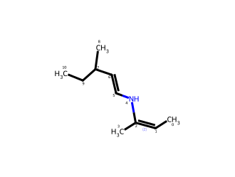 C/C=C(/C)NC=CC(C)CC